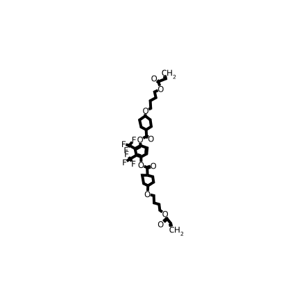 C=CC(=O)OCCCCOC1CCC(C(=O)Oc2ccc(OC(=O)C3CCC(OCCCCOC(=O)C=C)CC3)c(C(F)(F)F)c2C(F)(F)F)CC1